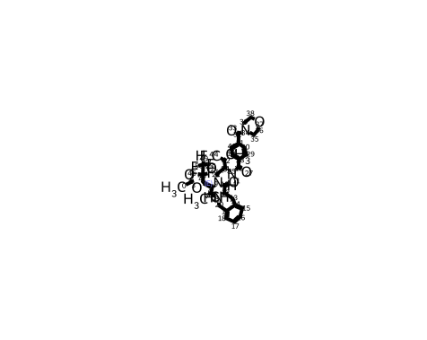 CC(=O)O/C(=C(\C(C)C)N(C(=O)C1Cc2ccccc2CN1)C(=O)[C@@H](NC(=O)c1ccc(C(=O)N2CCOCC2)cc1)C(C)C)C(F)(F)C(F)(F)F